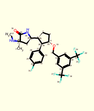 CN[C@]1(C)C[C@H]([C@@H]2CC[C@H](OCc3cc(C(F)(F)F)cc(C(F)(F)F)c3)[C@H]2c2ccc(F)cc2)NC1=O